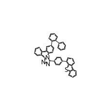 c1ccc(-c2ccccc2-c2ccc3c(c2)c2ccccc2c2nnc(-c4ccc(-c5cccc6c5sc5ccccc56)cc4)n32)cc1